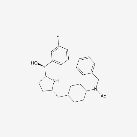 CC(=O)N(Cc1ccccc1)C1CCC(C[C@@H]2CC[C@H]([C@@H](O)c3cccc(F)c3)N2)CC1